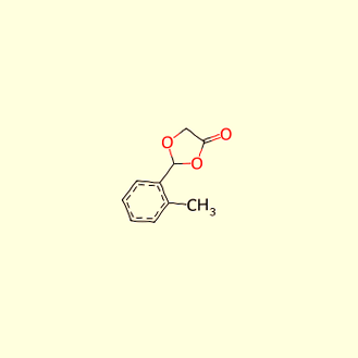 Cc1ccccc1C1OCC(=O)O1